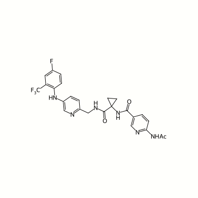 CC(=O)Nc1ccc(C(=O)NC2(C(=O)NCc3ccc(Nc4ccc(F)cc4C(F)(F)F)cn3)CC2)cn1